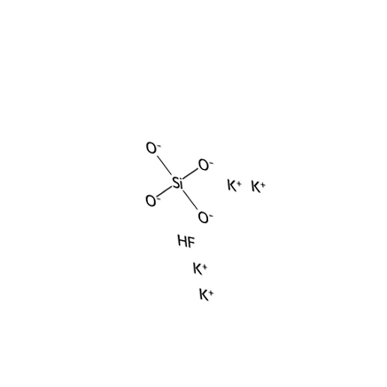 F.[K+].[K+].[K+].[K+].[O-][Si]([O-])([O-])[O-]